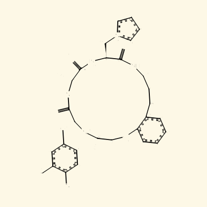 CC(C)[C@H]1NC(=O)[C@@H](Cc2ccc(O)c(Cl)c2)N[C@@H](C)COc2ccccc2CCCNC(=O)[C@H](Cn2cccc2)NC1=O